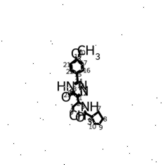 CCC(NC(=O)C1CCCC1)c1nnc(-c2ccc(OC)cc2)[nH]c1=O